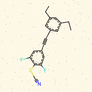 CCc1cc(C#Cc2cc(F)c(SC#N)c(F)c2)cc(CC)c1